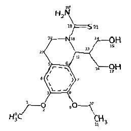 CCOc1cc2c(cc1OCC)C(C(CO)CO)N(C(N)=S)CC2